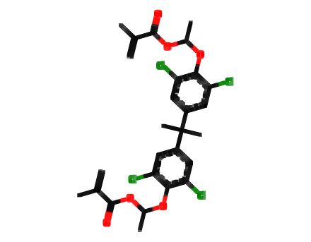 C=C(C)C(=O)OC(C)Oc1c(Cl)cc(C(C)(C)c2cc(Cl)c(OC(C)OC(=O)C(=C)C)c(Cl)c2)cc1Cl